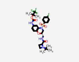 CC(C)(C)N1CCC1C(=O)NC[C@H]1CN(S(=O)(=O)c2ccc(F)cc2)c2cc(NC(=O)OC(C)(C)C(F)(F)F)ccc2O1